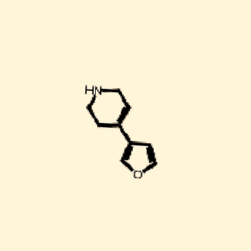 C1=C(c2ccoc2)CCNC1